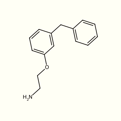 NCCOc1cccc(Cc2ccccc2)c1